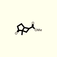 COC(=O)C1CC2(C)C(=O)CCC12